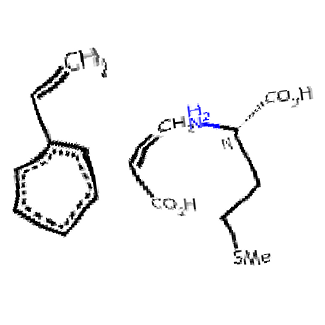 C=CC(=O)O.C=Cc1ccccc1.CSCC[C@H](N)C(=O)O